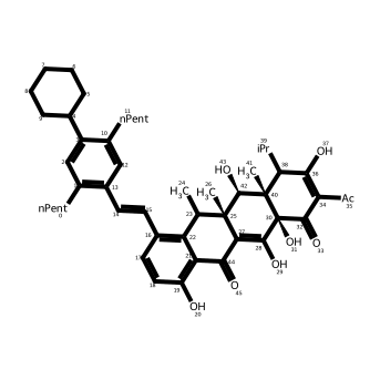 CCCCCc1cc(C2CCCCC2)c(CCCCC)cc1C=Cc1ccc(O)c2c1C(C)[C@@]1(C)C(=C(O)[C@@]3(O)C(=O)C(C(C)=O)=C(O)C(C(C)C)[C@@]3(C)[C@@H]1O)C2=O